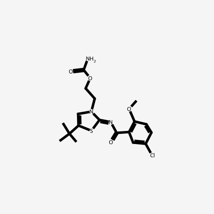 COc1ccc(Cl)cc1C(=O)N=c1sc(C(C)(C)C)cn1CCOC(N)=O